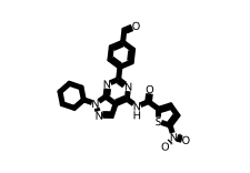 O=Cc1ccc(-c2nc(NC(=O)c3ccc([N+](=O)[O-])s3)c3cnn(C4CCCCC4)c3n2)cc1